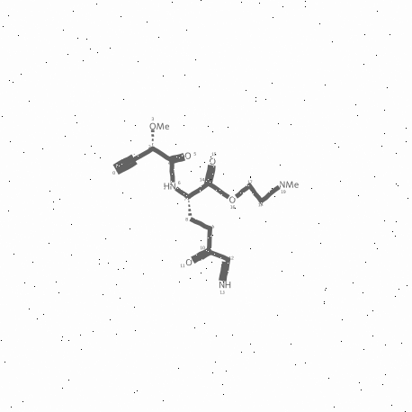 C#C[C@H](OC)C(=O)N[C@@H](CCC(=O)C=N)C(=O)OCCNC